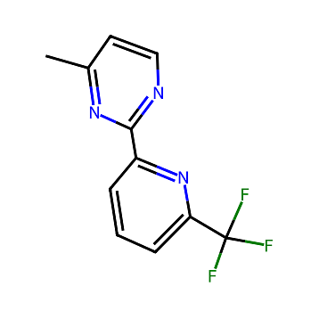 Cc1ccnc(-c2cccc(C(F)(F)F)n2)n1